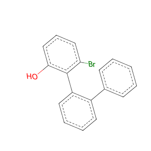 Oc1cccc(Br)c1-c1ccccc1-c1ccccc1